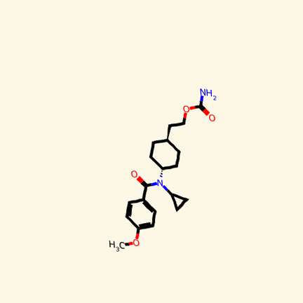 COc1ccc(C(=O)N(C2CC2)[C@H]2CC[C@H](CCOC(N)=O)CC2)cc1